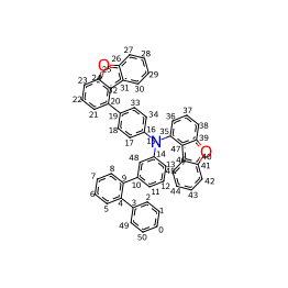 c1ccc(-c2ccccc2-c2cccc(N(c3ccc(-c4cccc5oc6ccccc6c45)cc3)c3cccc4oc5ccccc5c34)c2)cc1